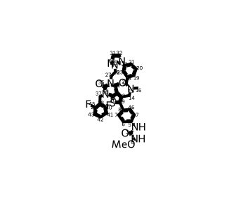 CONC(=O)Nc1ccc(-c2sc3c(c2CN(C)Cc2ccccc2)c(=O)n(CCn2nccn2)c(=O)n3Cc2c(F)cccc2F)cc1